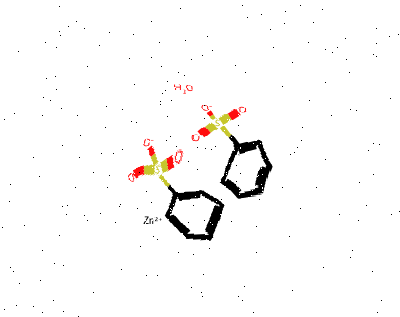 O.O=S(=O)([O-])c1ccccc1.O=S(=O)([O-])c1ccccc1.[Zn+2]